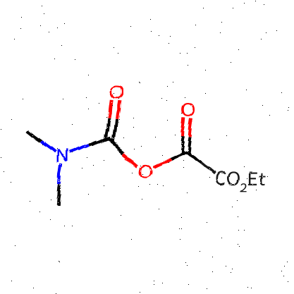 CCOC(=O)C(=O)OC(=O)N(C)C